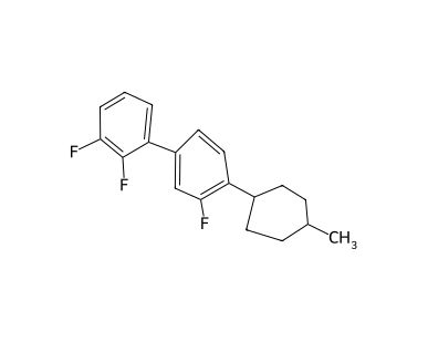 CC1CCC(c2ccc(-c3cccc(F)c3F)cc2F)CC1